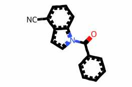 N#Cc1cccc2c1ccn2C(=O)c1ccccc1